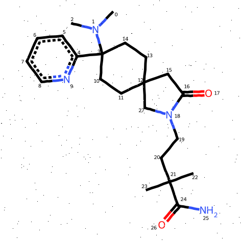 CN(C)C1(c2ccccn2)CCC2(CC1)CC(=O)N(CCC(C)(C)C(N)=O)C2